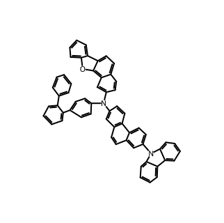 c1ccc(-c2ccccc2-c2ccc(N(c3ccc4c(ccc5cc(-n6c7ccccc7c7ccccc76)ccc54)c3)c3ccc4ccc5c6ccccc6oc5c4c3)cc2)cc1